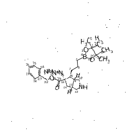 CC1(C)OB(CCC[C@H]2[C@@H]3CNC[C@@H]3C[C@@]2(N=[N+]=[N-])C(=O)OCc2ccccc2)OC1(C)C